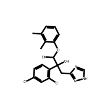 CCC(Oc1cccc(C)c1C)C(O)(Cc1nc[nH]n1)c1ccc(Cl)cc1Cl